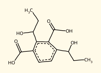 CCC(O)c1ccc(C(=O)O)c(C(O)CC)c1C(=O)O